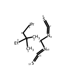 CCC(C)(C)CC(C)C.S=C=NCN=C=S